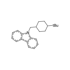 CC(C)(C)C1CCC(Cn2c3ccccc3c3ccccc32)CC1